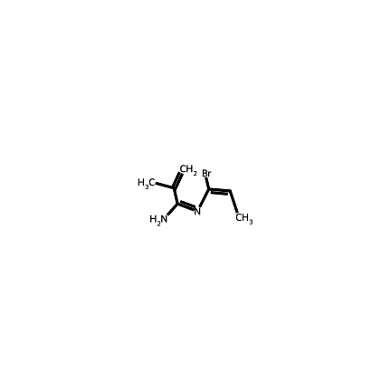 C=C(C)/C(N)=N\C(Br)=C/C